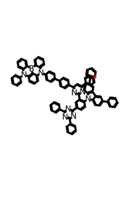 c1ccc(-c2ccc3c(c2)c2cc(-c4ccccc4)ccc2n3-c2ccc(-c3nc(-c4ccccc4)nc(-c4ccccc4)n3)cc2-c2nc(-c3ccccc3)cc(-c3ccc(-c4ccc(N5c6ccccc6B6c7ccccc7N(c7ccccc7)c7cccc5c76)cc4)cc3)n2)cc1